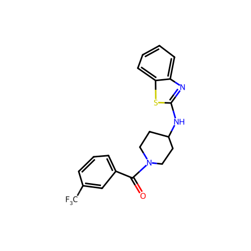 O=C(c1cccc(C(F)(F)F)c1)N1CCC(Nc2nc3ccccc3s2)CC1